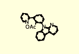 CC(=O)Oc1c(-c2ccccn2)cccc1-n1c2ccccc2c2cccnc21